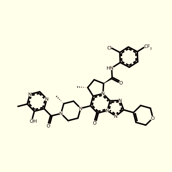 Cc1ncnc(C(=O)N2CCN(c3c4n(c5nc(C6=CCOCC6)nn5c3=O)[C@H](C(=O)Nc3ccc(C(F)(F)F)cc3Cl)C[C@H]4C)C[C@H]2C)c1O